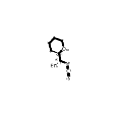 CC[C@@H](N=C=S)[C@H]1CCCCO1